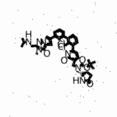 COc1nc(-c2cccc(-c3cccc(-c4cc5c(=O)n(C)c(CNC(C)C)nn5c4)c3Cl)c2Cl)ccc1CN(C[C@@H]1CCC(=O)N1)C(=O)OC(C)(C)C